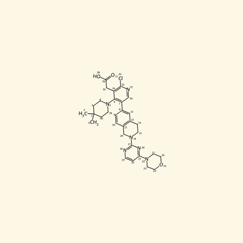 CC1(C)CCN(c2c(-c3ccc4c(c3)CCN(c3nccc(N5CCOCC5)n3)C4)cnc(Cl)c2CC(=O)O)CC1